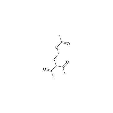 CC(=O)OCCC(C(C)=O)C(C)=O